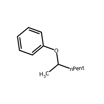 C[CH]CCCC(C)Oc1ccccc1